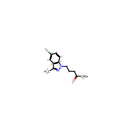 [CH2]c1nn(CCCC(=O)OC)c2ccc(F)cc12